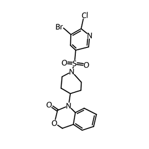 O=C1OCc2ccccc2N1C1CCN(S(=O)(=O)c2cnc(Cl)c(Br)c2)CC1